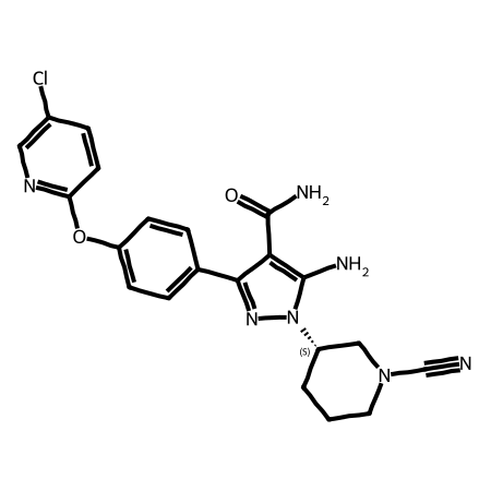 N#CN1CCC[C@H](n2nc(-c3ccc(Oc4ccc(Cl)cn4)cc3)c(C(N)=O)c2N)C1